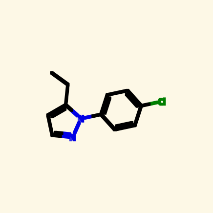 CCc1ccnn1-c1ccc(Cl)cc1